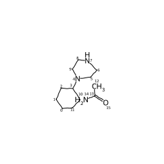 C1CCC(N2CCNCC2)CC1.CC(N)=O